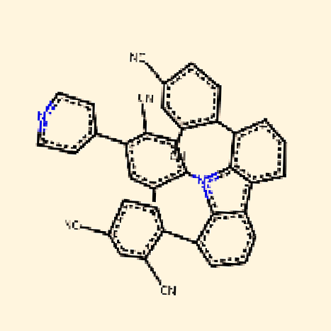 Cc1cc(-c2ccncc2)c(C#N)cc1-n1c2c(-c3ccc(C#N)cc3C#N)cccc2c2cccc(-c3ccc(C#N)cc3C#N)c21